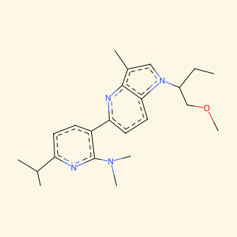 CCC(COC)n1cc(C)c2nc(-c3ccc(C(C)C)nc3N(C)C)ccc21